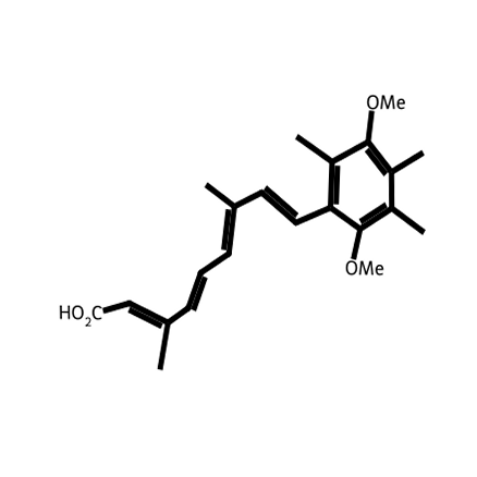 COc1c(C)c(C)c(OC)c(C=CC(C)=CC=CC(C)=CC(=O)O)c1C